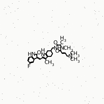 Cc1c(/C=C2\C(=O)Nc3ccc(F)cc32)[nH]c2c1CCC(CNC(=O)[C@H](C)N(C)C(=O)/C=C/CN(C)C)C2